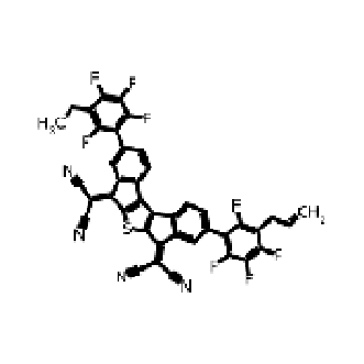 C=CCc1c(F)c(F)c(F)c(-c2ccc3c(c2)C(=C(C#N)C#N)c2sc4c(c2-3)-c2ccc(-c3c(F)c(F)c(F)c(CC)c3F)cc2C4=C(C#N)C#N)c1F